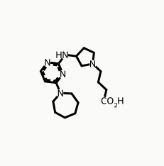 O=C(O)CCCN1CCC(Nc2nccc(N3CCCCCC3)n2)C1